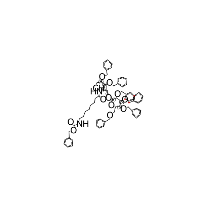 CC[C@@H](OCc1ccccc1)[C@@H](OCc1ccccc1)[C@H](CO[C@H]1OC(COCc2ccccc2)[C@H](OCc2ccccc2)[C@H](OCc2ccccc2)C1OCc1ccccc1)NC(=O)CCCCCCCNC(=O)OCc1ccccc1